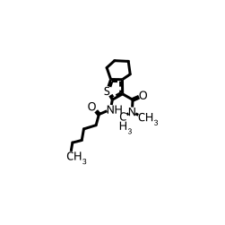 CCCCCC(=O)Nc1sc2c(c1C(=O)N(C)C)CCCC2